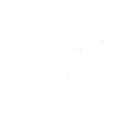 CN(CC(CC1CCC(=O)CC1)NC(=O)O)C(=O)OCc1ccccc1